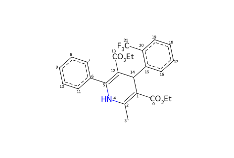 CCOC(=O)C1=C(C)NC(c2ccccc2)=C(C(=O)OCC)C1c1ccccc1C(F)(F)F